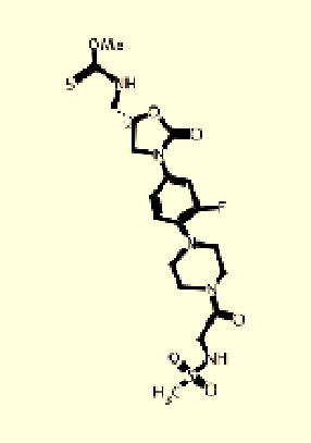 COC(=S)NC[C@H]1CN(c2ccc(N3CCN(C(=O)CNS(C)(=O)=O)CC3)c(F)c2)C(=O)O1